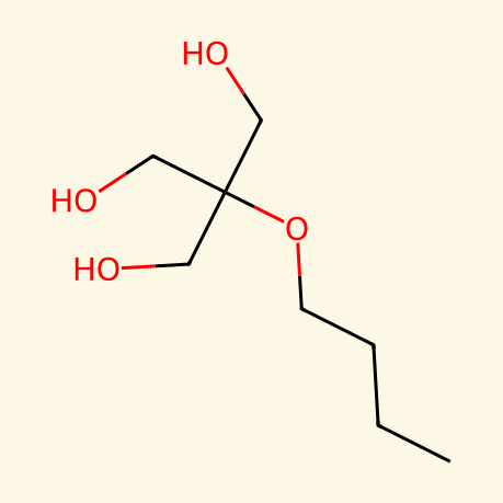 CCCCOC(CO)(CO)CO